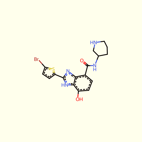 O=C(NC1CCCNC1)c1ccc(O)c2[nH]c(-c3ccc(Br)s3)nc12